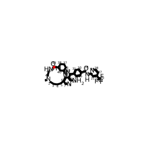 CN1CCCCc2cnc(N)c3c(-c4ccc(C(=O)Nc5cc(C(F)(F)F)ccn5)cc4)nn(c23)[C@@H]2CCC[C@H](C2)C(=O)NCC1